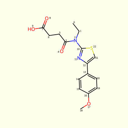 CCN(C(=O)CCC(=O)O)c1nc(-c2ccc(OC)cc2)cs1